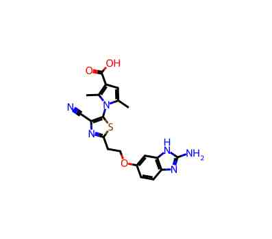 Cc1cc(C(=O)O)c(C)n1-c1sc(CCOc2ccc3nc(N)[nH]c3c2)nc1C#N